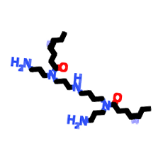 CC/C=C\CCC(=O)N(CCCN)CCCCNCCCN(CCCN)C(=O)CC/C=C\CC